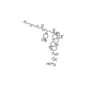 C=C(C)[C@@H]1CC[C@]2(NCC[C@H](COC(=O)COCCOCCOC)N3CCS(=O)(=O)CC3)CC[C@]3(C)[C@H](CC[C@@H]4[C@@]5(C)CC[C@H](OC(=O)[C@H]6C[C@@H](C(=O)O)C6(C)C)C(C)(C)[C@@H]5CC[C@]43C)[C@@H]12